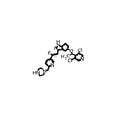 CC(Oc1ccc2[nH]nc(/C=C(\F)c3ccc(CN4CCNCC4)nc3)c2c1)c1c(Cl)cncc1Cl